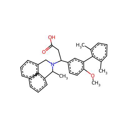 COc1ccc(C(CC(=O)O)N(Cc2ccccc2)C(C)c2ccccc2)cc1-c1c(C)cccc1C